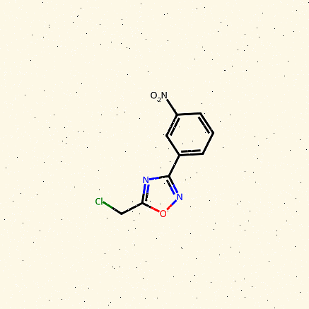 O=[N+]([O-])c1cccc(-c2noc(CCl)n2)c1